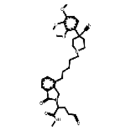 CNC(=O)C(CCC=O)N1Cc2c(CCCCCN3CCC(C#N)(c4ccc(OC)c(OC)c4OC)CC3)cccc2C1=O